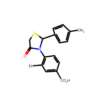 CCc1cc(C(=O)O)ccc1N1C(=O)CSC1c1ccc(C)cc1